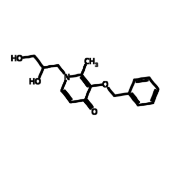 Cc1c(OCc2ccccc2)c(=O)ccn1CC(O)CO